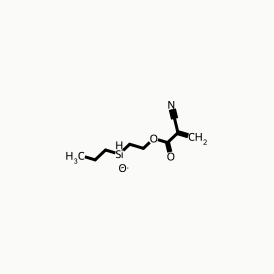 C=C(C#N)C(=O)OCC[SiH]([O])CCC